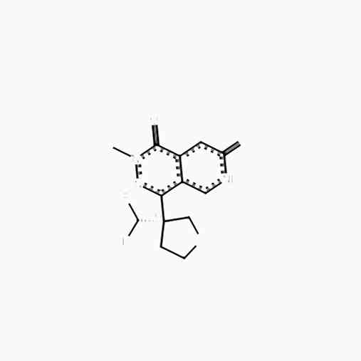 Cn1nc([C@]2(C(F)F)CCOC2)c2c[nH]c(=O)cc2c1=O